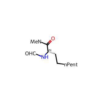 CCCCCCC[C@H](NC=O)C(=O)NC